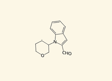 O=Cc1cc2ccccc2n1C1[CH]CCOC1